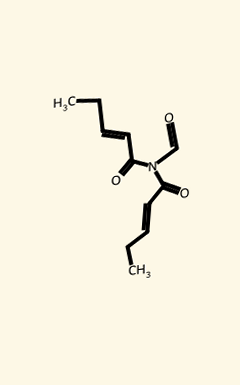 CCC=CC(=O)N(C=O)C(=O)C=CCC